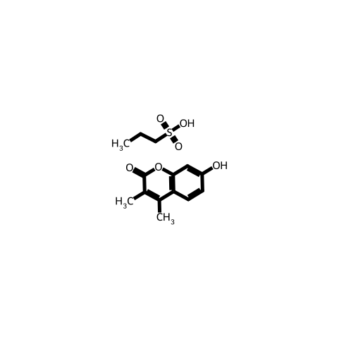 CCCS(=O)(=O)O.Cc1c(C)c2ccc(O)cc2oc1=O